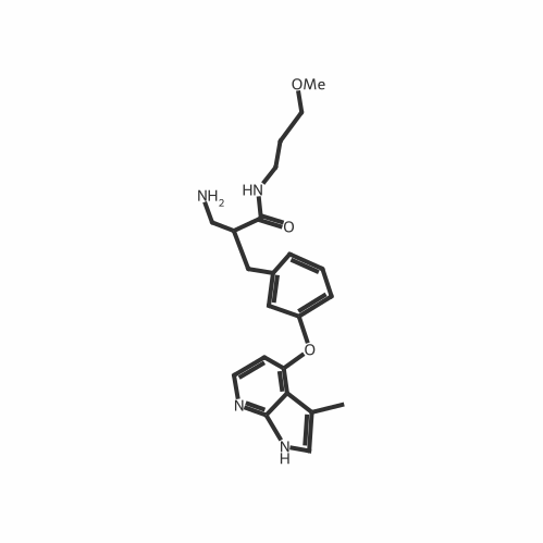 COCCCNC(=O)C(CN)Cc1cccc(Oc2ccnc3[nH]cc(C)c23)c1